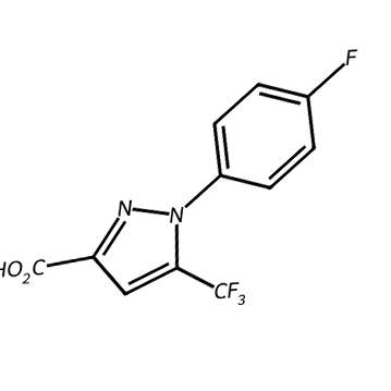 O=C(O)c1cc(C(F)(F)F)n(-c2ccc(F)cc2)n1